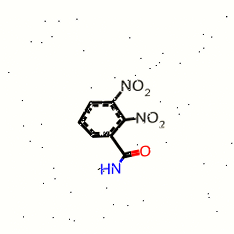 [NH]C(=O)c1cccc([N+](=O)[O-])c1[N+](=O)[O-]